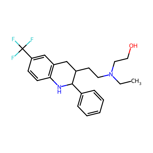 CCN(CCO)CCC1Cc2cc(C(F)(F)F)ccc2NC1c1ccccc1